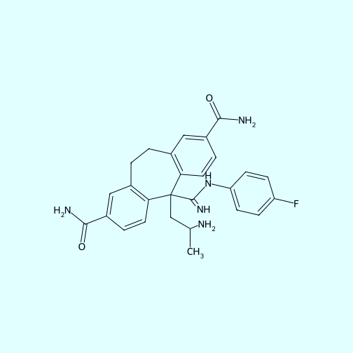 CC(N)CC1(C(=N)Nc2ccc(F)cc2)c2ccc(C(N)=O)cc2CCc2cc(C(N)=O)ccc21